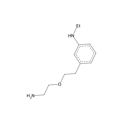 CCNc1cccc(CCOCCN)c1